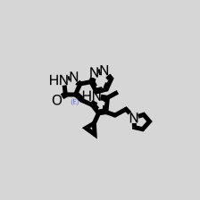 Cc1[nH]c(/C=C2/C(=O)NN=C2c2cccnn2)c(C2CC2)c1CCN1CCCC1